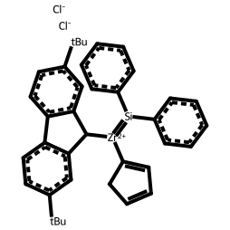 CC(C)(C)c1ccc2c(c1)[CH]([Zr+2]([C]1=CC=CC1)=[Si](c1ccccc1)c1ccccc1)c1cc(C(C)(C)C)ccc1-2.[Cl-].[Cl-]